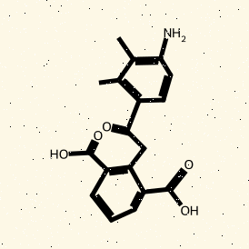 Cc1c(N)ccc(C(=O)Cc2c(C(=O)O)cccc2C(=O)O)c1C